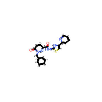 O=C(Nc1nc(-c2ccccn2)cs1)c1ccc(=O)n(Cc2ccccc2)n1